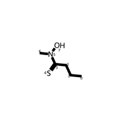 CCCC(=S)N(C)O